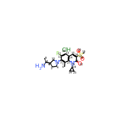 Cc1c(N2CC[C@@H]([C@H](C)N)C2)c(F)cc2cc(S(C)(=O)=O)c(=O)n(C3CC3)c12.Cl